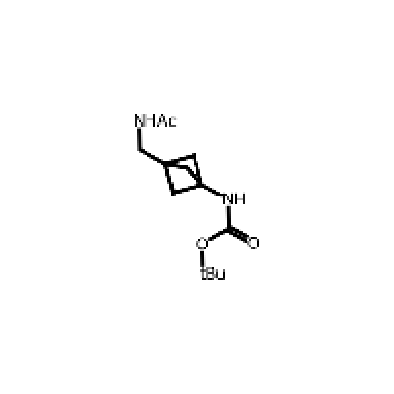 CC(=O)NCC12CC(NC(=O)OC(C)(C)C)(C1)C2